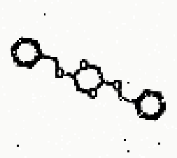 c1ccc(COC2COC(OCc3ccccc3)CO2)cc1